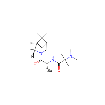 C[C@@H]1[C@@H]2CC(CN1C(=O)[C@@H](NC(=O)C(C)(C)N(C)C)C(C)(C)C)C2(C)C